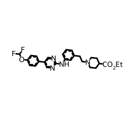 CCOC(=O)C1CCN(CCc2cccc(Nc3ncc(-c4ccc(OC(F)F)cc4)cn3)c2)CC1